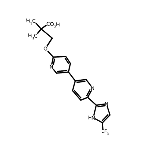 CC(C)(COc1ccc(-c2ccc(-c3ncc(C(F)(F)F)[nH]3)nc2)cn1)C(=O)O